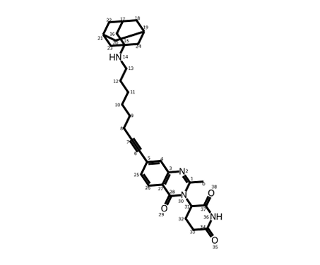 Cc1nc2cc(C#CCCCCCCNC34CC5CC(CC(C5)C3)C4)ccc2c(=O)n1C1CCC(=O)NC1=O